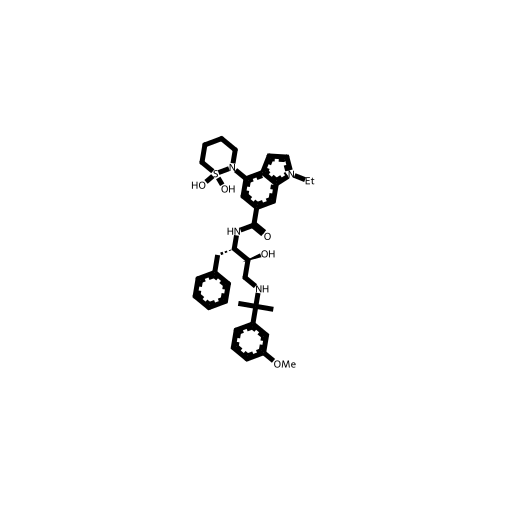 CCn1ccc2c(N3CCCCS3(O)O)cc(C(=O)N[C@@H](Cc3ccccc3)[C@@H](O)CNC(C)(C)c3cccc(OC)c3)cc21